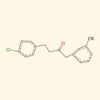 N#Cc1cccc(CC(=O)CCc2ccc(Cl)cc2)c1